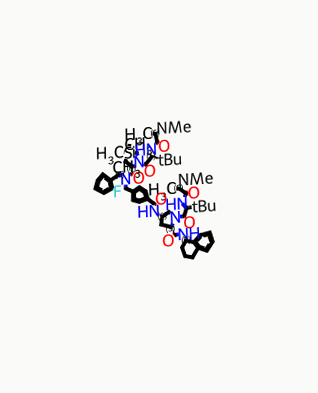 CN[C@@H](C)C(=O)NC(C(=O)N1C[C@@H](NC(=O)c2ccc(CN(C(=O)[C@@H]3C[Si](C)(C)CN3C(=O)[C@@H](NC(=O)[C@H](C)NC)C(C)(C)C)[C@H](C)c3ccccc3F)cc2)C[C@H]1C(=O)N[C@@H]1CCCc2ccccc21)C(C)(C)C